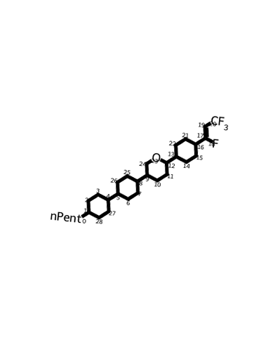 CCCCCC1CCC(C2CCC(C3CCC(C4CCC(/C(F)=C/C(F)(F)F)CC4)OC3)CC2)CC1